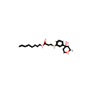 CCCCCCCCOC(=O)CCSc1cccc([C@@]2(O)CCO[C@@H](C)C2)c1